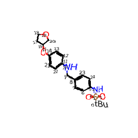 CC(C)(C)S(=O)(=O)Nc1ccc(CNc2ccc(OC3CCOC3)cc2)cc1